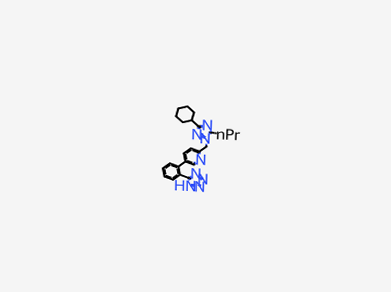 CCCc1nc(C2CCCCC2)nn1Cc1ccc(-c2ccccc2-c2nnn[nH]2)cn1